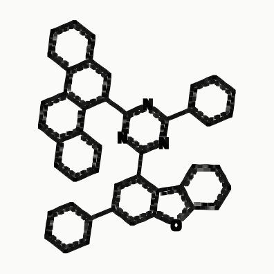 c1ccc(-c2cc(-c3nc(-c4ccccc4)nc(-c4cc5ccccc5c5ccc6ccccc6c45)n3)c3c(c2)oc2ccccc23)cc1